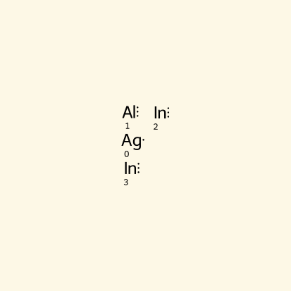 [Ag].[Al].[In].[In]